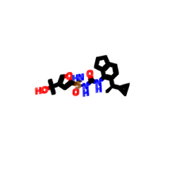 C[C@@H](c1ccc2c(c1NC(=O)N[S@](=N)(=O)c1cc(C(C)(C)O)co1)CCC2)C1CC1